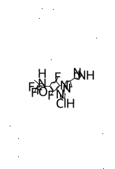 CC(NC(=O)c1cc(F)c(-n2cc(-c3cn[nH]c3)cn2)c(N2CCC2)c1F)C(F)(F)F.Cl